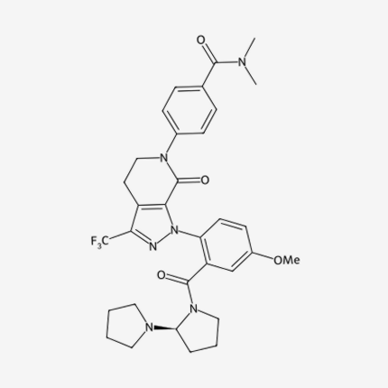 COc1ccc(-n2nc(C(F)(F)F)c3c2C(=O)N(c2ccc(C(=O)N(C)C)cc2)CC3)c(C(=O)N2CCC[C@H]2N2CCCC2)c1